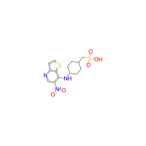 O=[N+]([O-])c1cnc2ccsc2c1NC1CCC(CS(=O)(=O)O)CC1